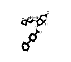 CCCCCCCC1(/C=C/[C@@H]2[C@H]3CC(=O)O[C@H]3C[C@H]2OC(=O)c2ccc(-c3ccccc3)cc2)CCO1